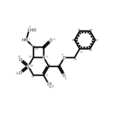 O=CN[C@H]1C(=O)N2C(C(=O)OCc3ccccc3)=C(C(F)(F)F)CS(=O)(=O)C12